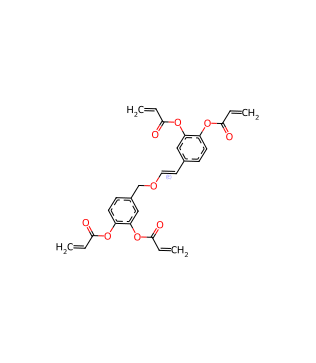 C=CC(=O)Oc1ccc(/C=C/OCc2ccc(OC(=O)C=C)c(OC(=O)C=C)c2)cc1OC(=O)C=C